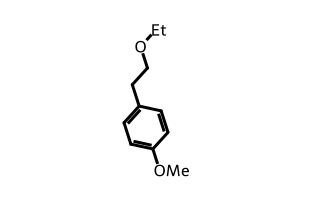 [CH2]COCCc1ccc(OC)cc1